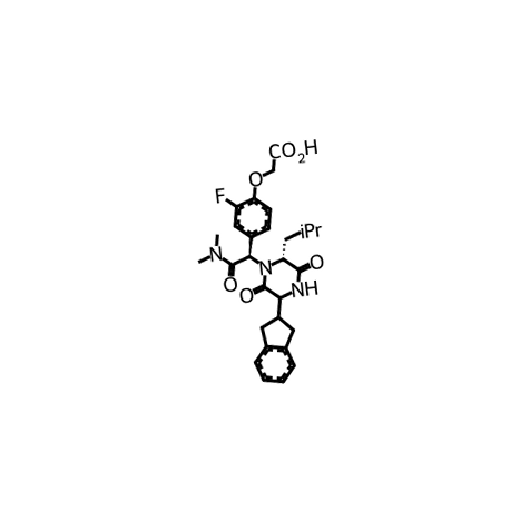 CC(C)C[C@@H]1C(=O)NC(C2Cc3ccccc3C2)C(=O)N1[C@@H](C(=O)N(C)C)c1ccc(OCC(=O)O)c(F)c1